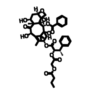 CCCC(=O)OCC(=O)O[C@@H](C(=O)O[C@H]1C[C@@]2(O)[C@@H](OC(=O)c3ccccc3)[C@@H]3[C@]4(O)CO[C@@H]4C[C@H](O)[C@@]3(C)C(=O)[C@H](O)C(=C1C)C2(C)C)[C@@H](C)c1ccccc1